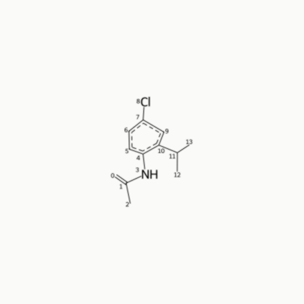 C=C(C)Nc1ccc(Cl)cc1C(C)C